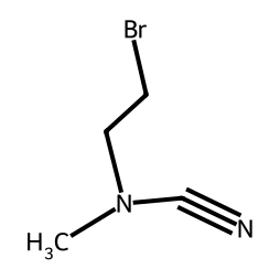 CN(C#N)CCBr